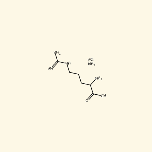 Cl.N=C(N)NCCCC(N)C(=O)O.[AlH3]